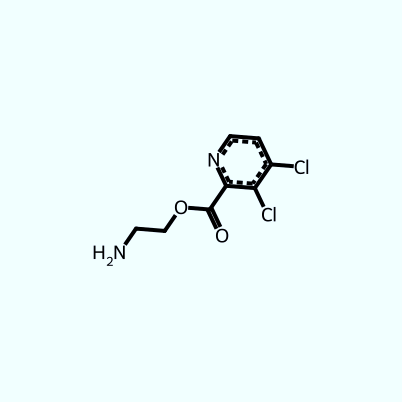 NCCOC(=O)c1nccc(Cl)c1Cl